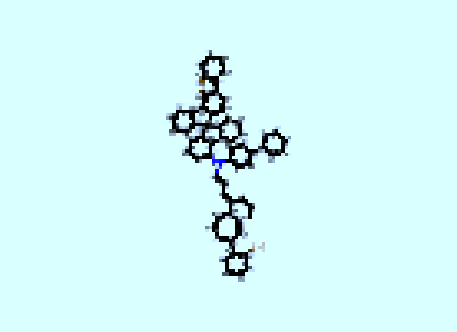 C\C=C/C(=C\C=C\N(c1ccc(-c2ccccc2)cc1)c1cccc2c1-c1ccccc1C21c2ccccc2-c2c1ccc1c2sc2ccccc21)C1C#CC(c2ccccc2S)=CC=C1